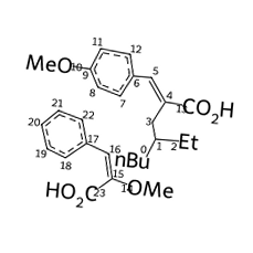 CCCCC(CC)CC(=Cc1ccc(OC)cc1)C(=O)O.COC(=Cc1ccccc1)C(=O)O